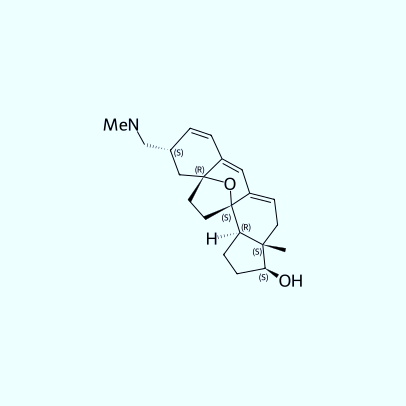 CNC[C@@H]1C=CC2=CC3=CC[C@@]4(C)[C@@H](CC[C@@H]4O)[C@@]34CC[C@]2(C1)O4